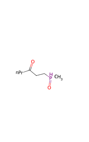 CCCC(=O)CC[PH](C)=O